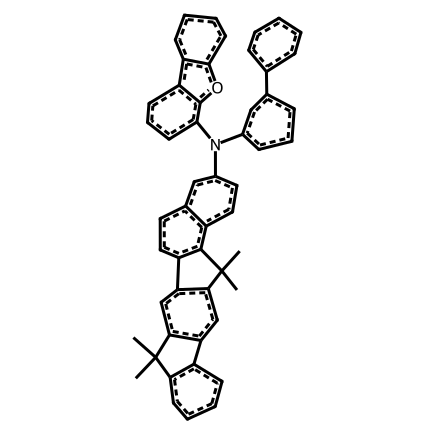 CC1(C)c2ccccc2-c2cc3c(cc21)-c1ccc2cc(N(c4cccc(-c5ccccc5)c4)c4cccc5c4oc4ccccc45)ccc2c1C3(C)C